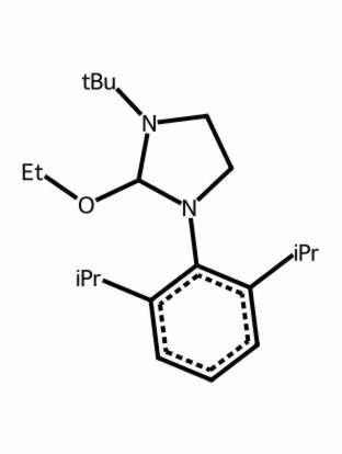 CCOC1N(c2c(C(C)C)cccc2C(C)C)CCN1C(C)(C)C